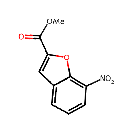 COC(=O)c1cc2cccc([N+](=O)[O-])c2o1